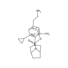 CC(C)(C)OC(=O)N1C2CCC1CN(c1ccc(CCN)cc1C1CC1)C2